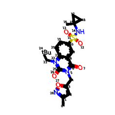 Cc1cc(Cn2c(=O)c3cc(S(=O)(=O)NC4(C)CC4)ccc3n(CC(C)(C)C)c2=O)on1